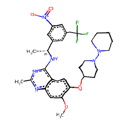 COc1cc2nc(C)nc(N[C@H](C)c3cc([N+](=O)[O-])cc(C(F)(F)F)c3)c2cc1OC1CCN(N2CC[CH]CC2)CC1